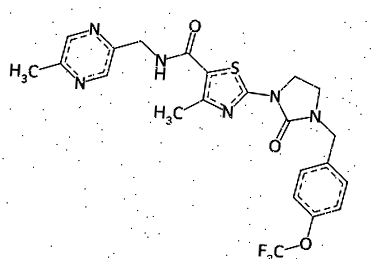 Cc1cnc(CNC(=O)c2sc(N3CCN(Cc4ccc(OC(F)(F)F)cc4)C3=O)nc2C)cn1